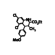 CCOC(=O)C1Nc2cc(Cl)cc(Cl)c2C(c2ccc(OC)cc2)C1C